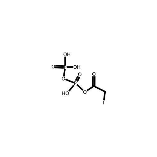 O=C(CI)OP(=O)(O)OP(=O)(O)O